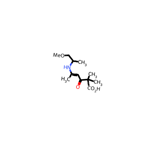 COCC(C)NC(C)=CC(=O)C(C)(C)C(=O)O